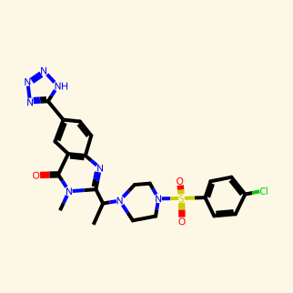 CC(c1nc2ccc(-c3nnn[nH]3)cc2c(=O)n1C)N1CCN(S(=O)(=O)c2ccc(Cl)cc2)CC1